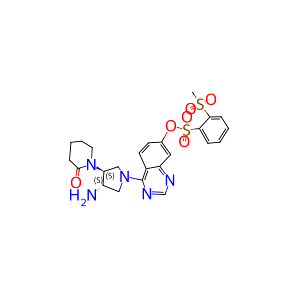 CS(=O)(=O)c1ccccc1S(=O)(=O)Oc1ccc2c(N3C[C@H](N)[C@@H](N4CCCCC4=O)C3)ncnc2c1